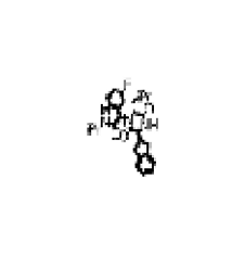 CC(C)C[C@@H]1C(=O)NC(C2Cc3ccccc3C2)C(=O)N1[C@@H](C(=O)NC(C)C)c1cc(F)ccc1F